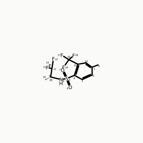 Cc1ccc(S(=O)(=O)N[C@H](C)C(F)(F)F)c(C(F)(F)F)c1